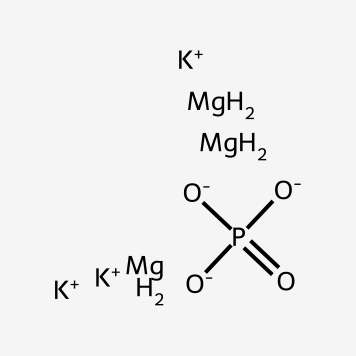 O=P([O-])([O-])[O-].[K+].[K+].[K+].[MgH2].[MgH2].[MgH2]